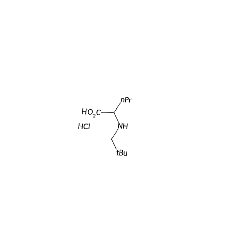 CCCC(NCC(C)(C)C)C(=O)O.Cl